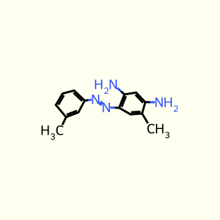 Cc1cccc(N=Nc2cc(C)c(N)cc2N)c1